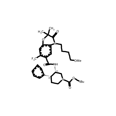 COCCCCN1C(=O)C(C)(C)Oc2cc(C(F)(F)F)c(C(=O)N[C@@H]3CN(C(=O)OC(C)(C)C)CC[C@@H]3c3ccccc3)cc21